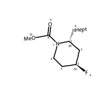 CCCCCCC[C@@H]1C[C@@H](F)CCN1C(=O)OC